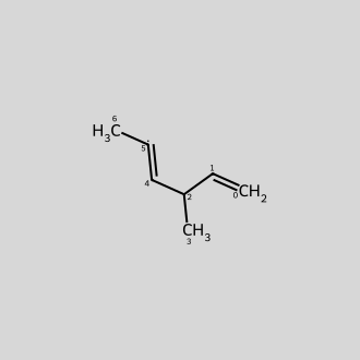 C=CC(C)/C=[C]/C